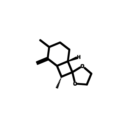 C=C1C(C)CC[C@H]2C1[C@@H](C)C21OCCO1